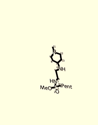 CCCC(C)P(=O)(NCCNC1CCN(C)CC1)OC